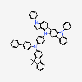 CC1(C)c2ccccc2-c2ccc(N(c3ccc(-c4ccccc4)cc3)c3ccc(-n4c5cc6c7ccccc7n(-c7ccccc7)c6cc5c5ccc6c(ccn6-c6ccccc6)c54)cc3)cc21